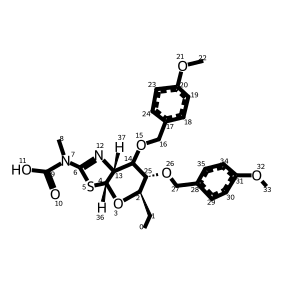 CC[C@H]1O[C@@H]2SC(N(C)C(=O)O)=N[C@@H]2C(OCc2ccc(OC)cc2)[C@@H]1OCc1ccc(OC)cc1